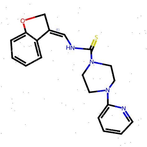 S=C(N/C=C1/COc2ccccc21)N1CCN(c2ccccn2)CC1